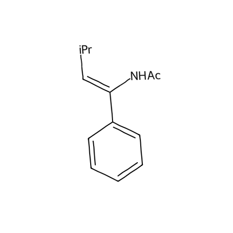 CC(=O)NC(=CC(C)C)c1ccccc1